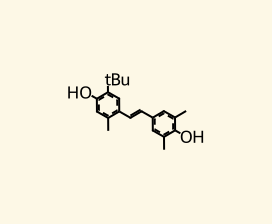 Cc1cc(O)c(C(C)(C)C)cc1/C=C/c1cc(C)c(O)c(C)c1